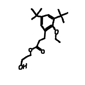 CCOc1c(CCC(=O)OCCO)cc(C(C)(C)C)cc1C(C)(C)C